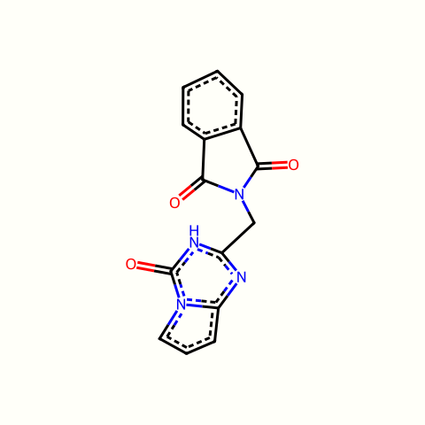 O=C1c2ccccc2C(=O)N1Cc1nc2cccn2c(=O)[nH]1